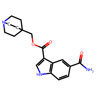 NC(=O)c1ccc2[nH]cc(C(=O)OCC34CCN(CC3)CC4)c2c1